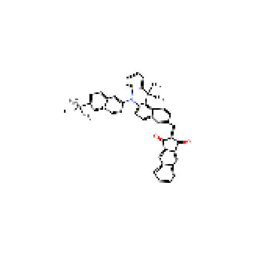 CC1(C)c2ccccc2N(c2ccc3cc([Si](C)(C)C)ccc3c2)c2ccc3cc(C=C4C(=O)c5cc6ccccc6cc5C4=O)ccc3c21